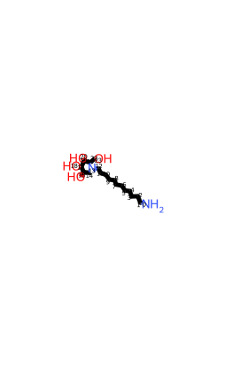 NCCCCCCCCCCCCN1CC(O)C(O)C(O)C1CO